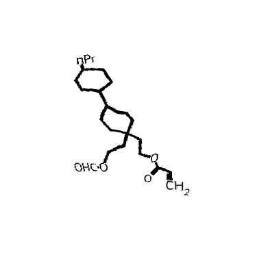 C=CC(=O)OCCC1(CCOC=O)CCC(C2CCC(CCC)CC2)CC1